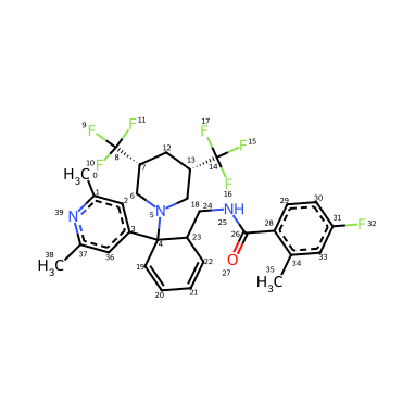 Cc1cc(C2(N3C[C@H](C(F)(F)F)C[C@H](C(F)(F)F)C3)C=CC=CC2CNC(=O)c2ccc(F)cc2C)cc(C)n1